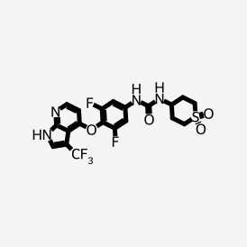 O=C(Nc1cc(F)c(Oc2ccnc3[nH]cc(C(F)(F)F)c23)c(F)c1)NC1CCS(=O)(=O)CC1